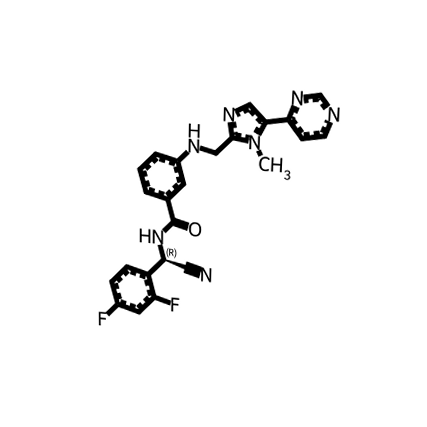 Cn1c(-c2ccncn2)cnc1CNc1cccc(C(=O)N[C@@H](C#N)c2ccc(F)cc2F)c1